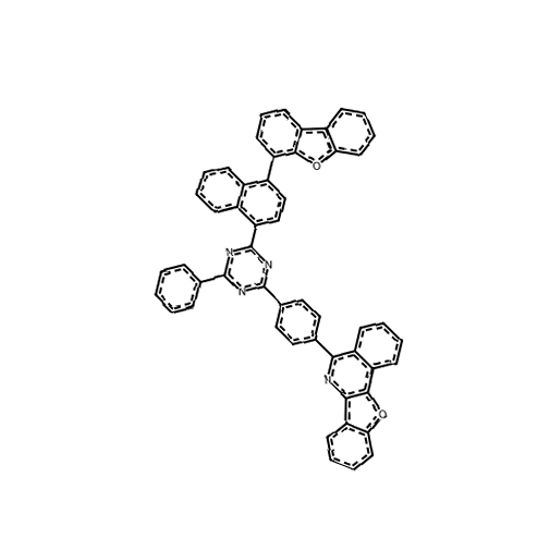 c1ccc(-c2nc(-c3ccc(-c4nc5c6ccccc6oc5c5ccccc45)cc3)nc(-c3ccc(-c4cccc5c4oc4ccccc45)c4ccccc34)n2)cc1